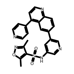 Cc1noc(C)c1S(=O)(=O)Nc1cncc(-c2ccc3nccc(-c4ccncc4)c3c2)c1